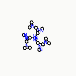 c1ccc(-n2c3ccc(-c4nc(-c5ccc6c(c5)c5cc(-n7c8ccccc8c8ccccc87)ccc5n6-c5ccccn5)nc(-c5ccc6c(c5)c5cc(-n7c8ccccc8c8ccccc87)ccc5n6-c5ccccn5)n4)cc3c3cc(-n4c5ccccc5c5ccccc54)ccc32)nc1